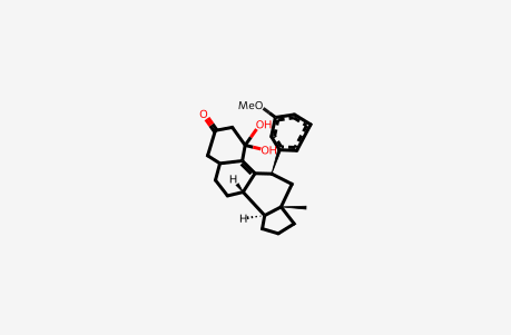 COc1cccc([C@H]2C[C@]3(C)CCC[C@H]3[C@@H]3CCC4CC(=O)CC(O)(O)C4=C32)c1